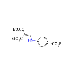 CCOC(=O)C(=CNc1ccc(C(=O)OCC)cc1)C(=O)OCC